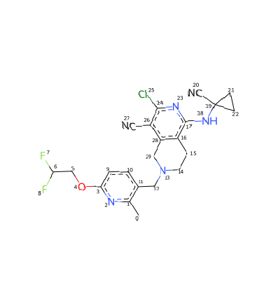 Cc1nc(OCC(F)F)ccc1CN1CCc2c(NC3(C#N)CC3)nc(Cl)c(C#N)c2C1